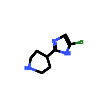 Clc1cnc(C2CCNCC2)[nH]1